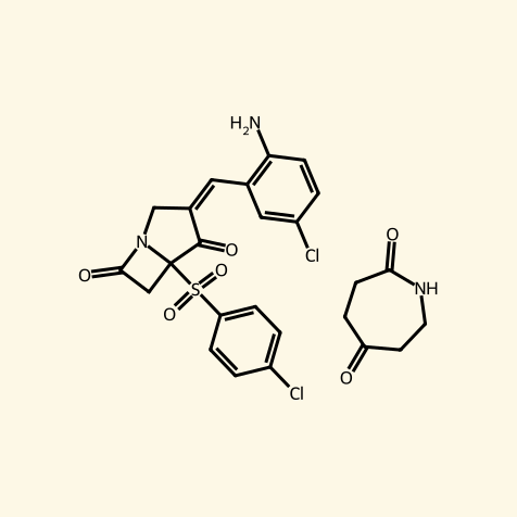 Nc1ccc(Cl)cc1C=C1CN2C(=O)CC2(S(=O)(=O)c2ccc(Cl)cc2)C1=O.O=C1CCNC(=O)CC1